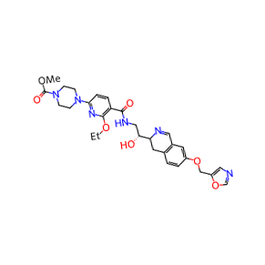 CCOc1nc(N2CCN(C(=O)OC)CC2)ccc1C(=O)NC[C@@H](O)C1Cc2ccc(OCc3cnco3)cc2C=N1